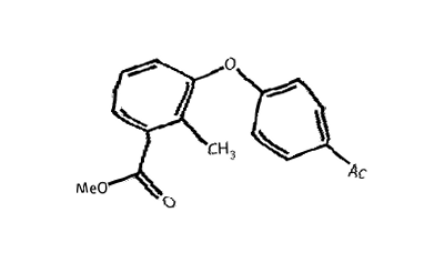 COC(=O)c1cccc(Oc2ccc(C(C)=O)cc2)c1C